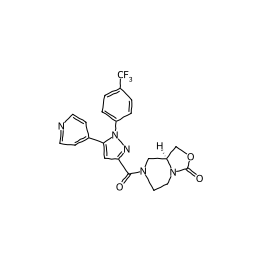 O=C(c1cc(-c2ccncc2)n(-c2ccc(C(F)(F)F)cc2)n1)N1CCN2C(=O)OC[C@@H]2C1